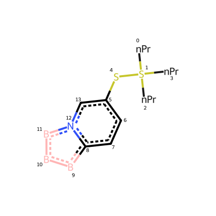 CCCS(CCC)(CCC)Sc1ccc2bbbn2c1